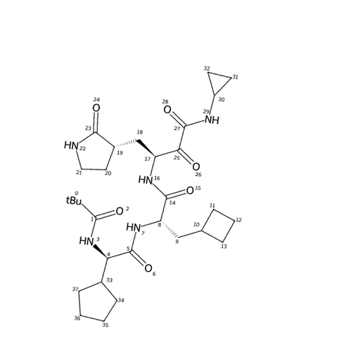 CC(C)(C)C(=O)N[C@@H](C(=O)N[C@@H](CC1CCC1)C(=O)N[C@@H](C[C@@H]1CCNC1=O)C(=O)C(=O)NC1CC1)C1CCCC1